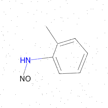 Cc1ccccc1NN=O